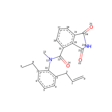 C=CCc1cccc(CC)c1N(C)C(=O)c1cccc2c1C(=O)NC2=O